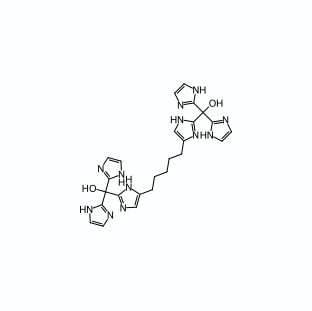 OC(c1ncc[nH]1)(c1ncc[nH]1)c1nc(CCCCCc2cnc(C(O)(c3ncc[nH]3)c3ncc[nH]3)[nH]2)c[nH]1